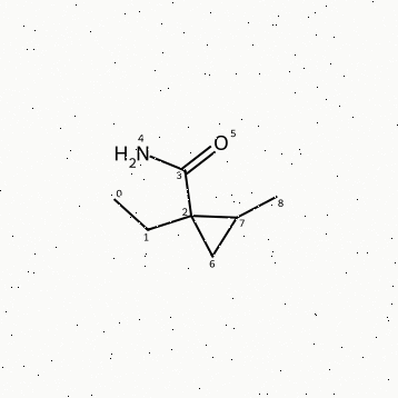 CCC1(C(N)=O)CC1C